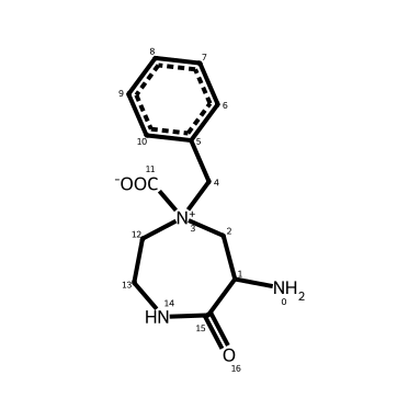 NC1C[N+](Cc2ccccc2)(C(=O)[O-])CCNC1=O